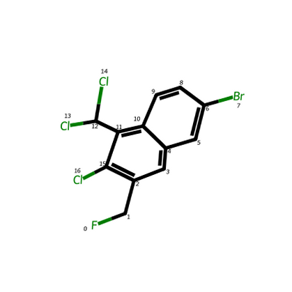 FCc1cc2cc(Br)ccc2c(C(Cl)Cl)c1Cl